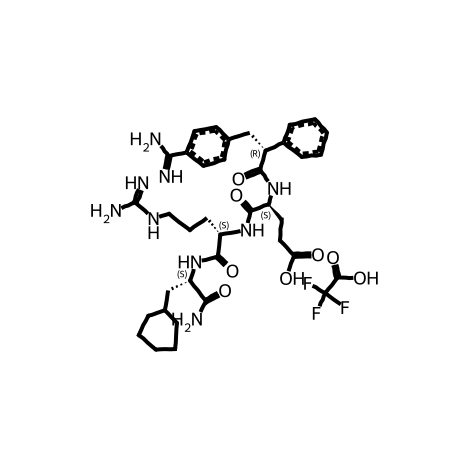 N=C(N)NCCC[C@H](NC(=O)[C@H](CCC(=O)O)NC(=O)[C@H](Cc1ccc(C(=N)N)cc1)c1ccccc1)C(=O)N[C@@H](CC1CCCCC1)C(N)=O.O=C(O)C(F)(F)F